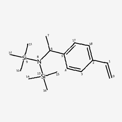 C=Cc1ccc(C(C)N([Si](C)(C)C)[Si](C)(C)C)cc1